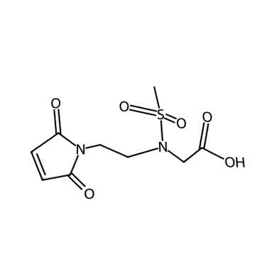 CS(=O)(=O)N(CCN1C(=O)C=CC1=O)CC(=O)O